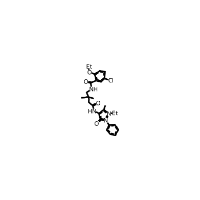 CCOc1ccc(Cl)cc1C(=O)NCC(C)(C)CC(=O)Nc1c(C)n(CC)n(-c2ccccc2)c1=O